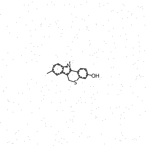 Cc1ccc2c(c1)c1c(n2C)-c2ccc(O)cc2SC1